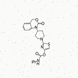 CC(C)NC(=O)Oc1csc(N2CCC(N3C(=O)OCc4ccccc43)CC2)n1